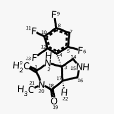 C=C1N[C@@]2(c3c(F)cc(F)c(F)c3F)CNC[C@H]2C(=O)N1C